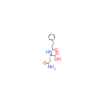 NC(=O)CC[C@H](NC(=O)CCc1ccccc1)C(=O)O